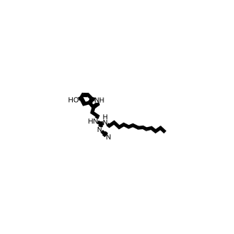 CCCCCCCCCCCCCN/C(=N\C#N)NCCc1c[nH]c2ccc(O)cc12